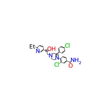 CCc1ccc([C@H](O)CN2CCN(c3ccc(C(N)=O)cc3Cl)[C@H](c3ccc(Cl)cc3)C2)cn1